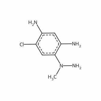 CN(N)c1cc(Cl)c(N)cc1N